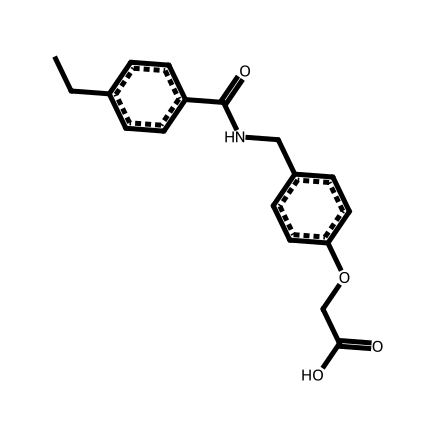 CCc1ccc(C(=O)NCc2ccc(OCC(=O)O)cc2)cc1